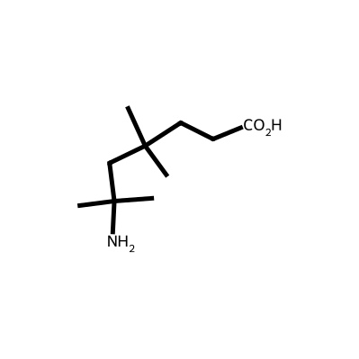 CC(C)(N)CC(C)(C)CCC(=O)O